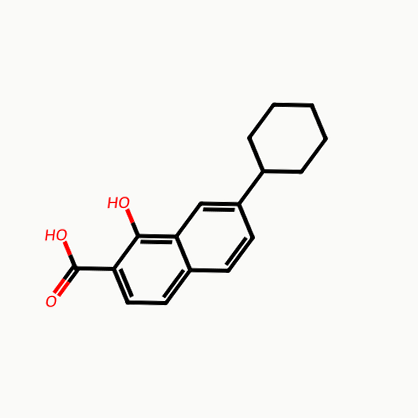 O=C(O)c1ccc2ccc(C3CCCCC3)cc2c1O